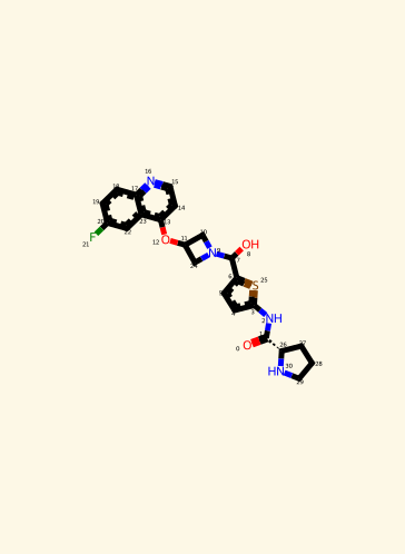 O=C(Nc1ccc(C(O)N2CC(Oc3ccnc4ccc(F)cc34)C2)s1)[C@@H]1CCCN1